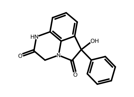 O=C1CN2C(=O)C(O)(c3ccccc3)c3cccc(c32)N1